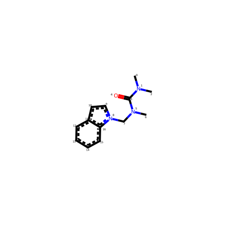 CN(C)C(=O)N(C)Cn1ccc2ccccc21